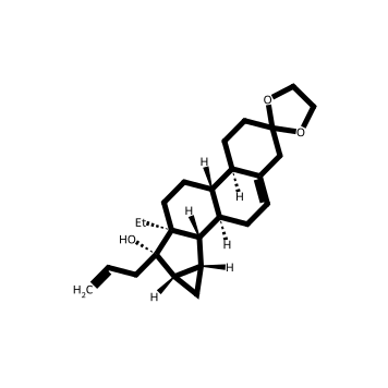 C=CC[C@]1(O)[C@H]2C[C@H]2[C@H]2[C@@H]3CC=C4CC5(CC[C@@H]4[C@H]3CC[C@@]21CC)OCCO5